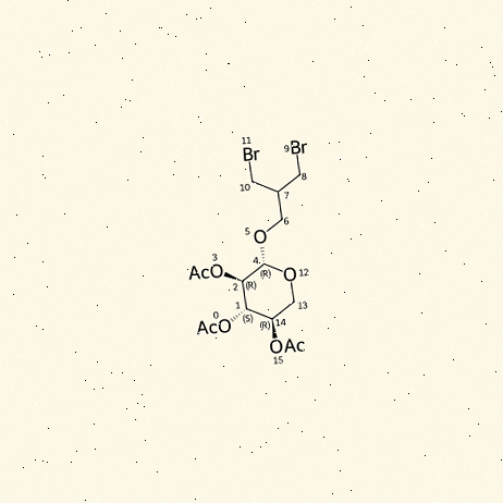 CC(=O)O[C@@H]1[C@@H](OC(C)=O)[C@H](OCC(CBr)CBr)OC[C@H]1OC(C)=O